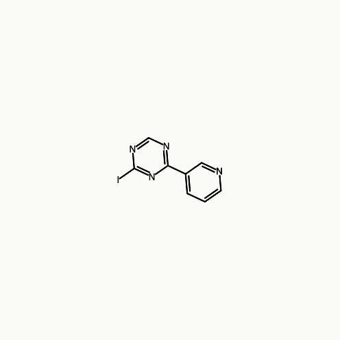 Ic1ncnc(-c2cccnc2)n1